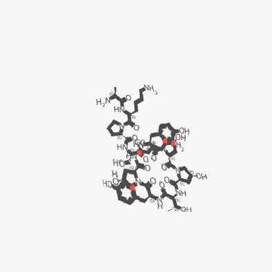 C[C@H](N)C(=O)N[C@@H](CCCCN)C(=O)N1CCC[C@H]1C(=O)N[C@@H](CO)C(=O)N[C@@H](Cc1ccc(O)cc1)C(=O)N1C[C@H](O)C[C@H]1C(=O)N1C[C@H](O)C[C@H]1C(=O)N[C@H](C(=O)N[C@@H](Cc1ccc(O)cc1)C(=O)N1C[C@H](O)C[C@H]1C(=O)N[C@@H](CCCCN)C(=O)O)[C@@H](C)O